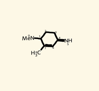 CNC1CCC(=N)C=C1C